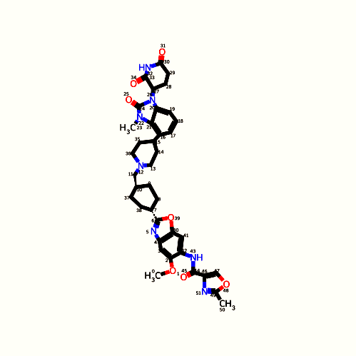 COc1cc2nc([C@H]3CC[C@H](CN4CCC(c5cccc6c5n(C)c(=O)n6C5CCC(=O)NC5=O)CC4)CC3)oc2cc1NC(=O)c1coc(C)n1